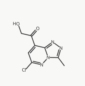 Cc1nnc2c(C(=O)CO)cc(Cl)nn12